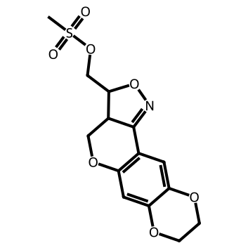 CS(=O)(=O)OCC1ON=C2c3cc4c(cc3OCC21)OCCO4